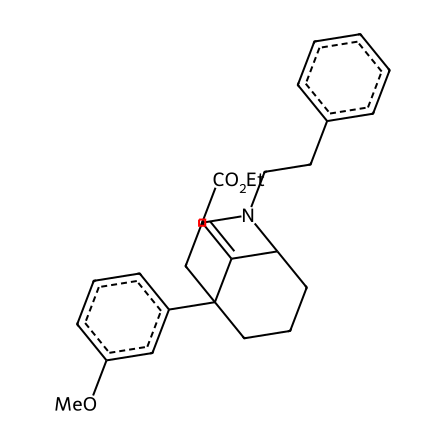 CCOC(=O)/C=C1\C2CCCC1(c1cccc(OC)c1)CCN2CCc1ccccc1